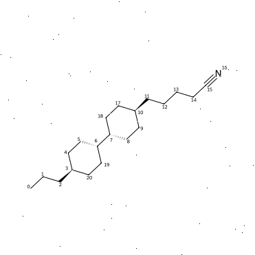 CCC[C@H]1CC[C@H]([C@H]2CC[C@H](CCCCC#N)CC2)CC1